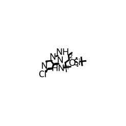 CCCC[C@](C)(CO[Si](C)(C)C(C)(C)C)Nc1nc(N)nc2cnc(Cl)cc12